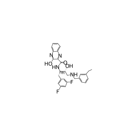 CCc1cccc(CNC[C@@H](O)[C@H](Cc2cc(F)cc(F)c2)NC(=O)c2nc3ccccc3nc2O)c1